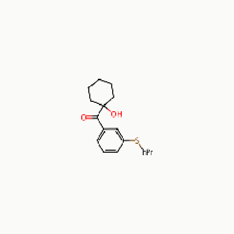 CCCSc1cccc(C(=O)C2(O)CCCCC2)c1